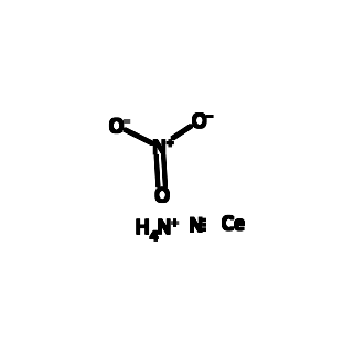 O=[N+]([O-])[O-].[Ce].[NH4+].[N]